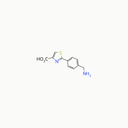 NCc1ccc(-c2nc(C(=O)O)cs2)cc1